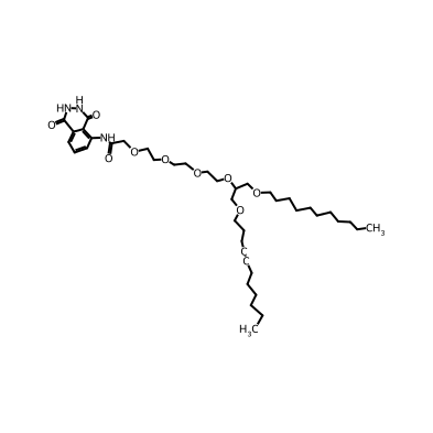 CCCCCCCCCCCOCC(COCCCCCCCCCCC)OCCOCCOCCOCC(=O)Nc1cccc2c(=O)[nH][nH]c(=O)c12